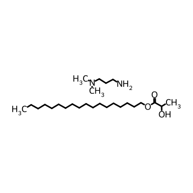 CCCCCCCCCCCCCCCCCCOC(=O)C(C)O.CN(C)CCCN